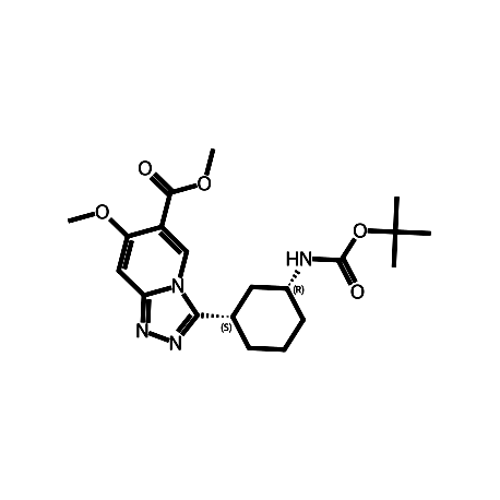 COC(=O)c1cn2c([C@H]3CCC[C@@H](NC(=O)OC(C)(C)C)C3)nnc2cc1OC